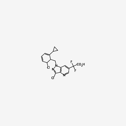 O=C(O)C(F)(F)c1cnc2c(Cl)nn(CC3C(C4CC4)=CC=CC3Cl)c2c1